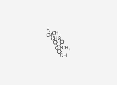 CC1=C(c2cccc(O)c2)C(c2ccc(OC[C@H](C)N3CCC[C@H]3CF)cc2)Oc2ccc(O)cc21